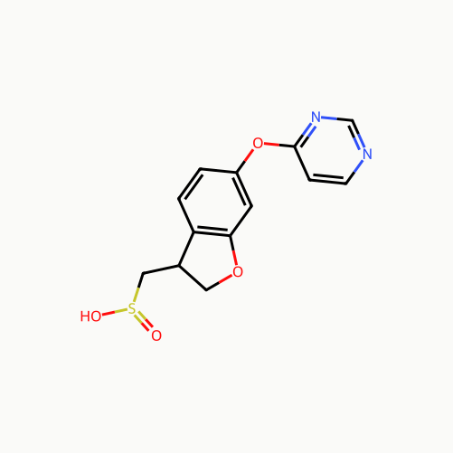 O=S(O)CC1COc2cc(Oc3ccncn3)ccc21